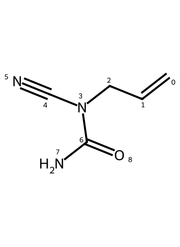 C=CCN(C#N)C(N)=O